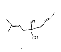 CC=CCC(C#N)(CC=C(C)C)CCC